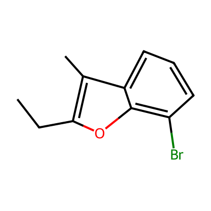 CCc1oc2c(Br)cccc2c1C